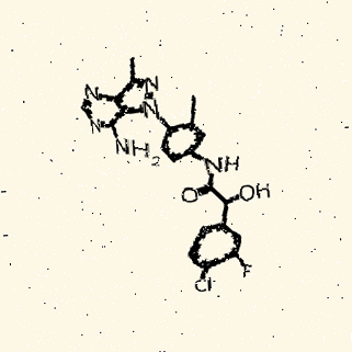 Cc1cc(NC(=O)C(O)c2ccc(Cl)c(F)c2)ccc1-n1nc(C)c2ncnc(N)c21